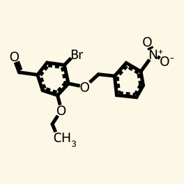 CCOc1cc(C=O)cc(Br)c1OCc1cccc([N+](=O)[O-])c1